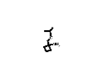 CC(C)OCC1(N)CCC1